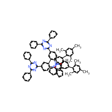 Cc1cc(C)c(-c2ccc3c(c2)c2ccccc2n3-c2ccc(-c3nc(-c4ccccc4)nc(-c4ccccc4)n3)cc2-c2cc(-c3nc(-c4ccccc4)nc(-c4ccccc4)n3)ccc2-n2c3ccccc3c3cc(-c4c(C)cc(C)cc4C)ccc32)c(C)c1